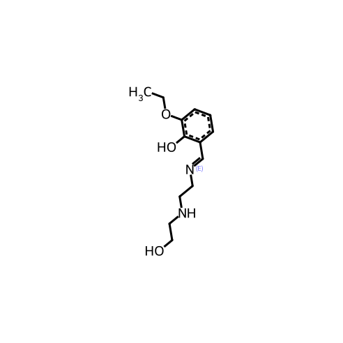 CCOc1cccc(/C=N/CCNCCO)c1O